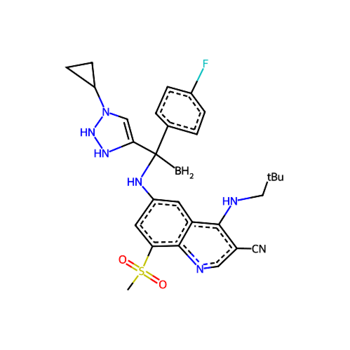 BC(Nc1cc(S(C)(=O)=O)c2ncc(C#N)c(NCC(C)(C)C)c2c1)(C1=CN(C2CC2)NN1)c1ccc(F)cc1